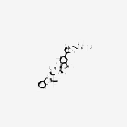 C[C@H](N(Cc1ccc(F)cc1)C(=O)CN1C(=O)N[C@]2(CC(=O)c3cc(-c4cnn(CC(=O)N(C)C)c4)ccc32)C1=O)C(F)(F)F